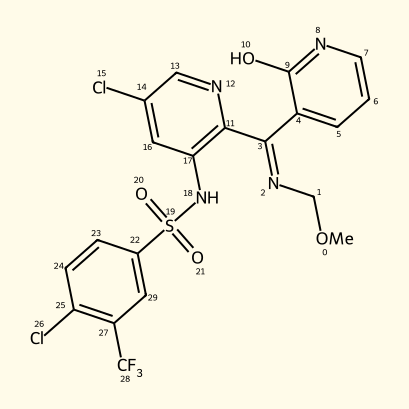 COC/N=C(\c1cccnc1O)c1ncc(Cl)cc1NS(=O)(=O)c1ccc(Cl)c(C(F)(F)F)c1